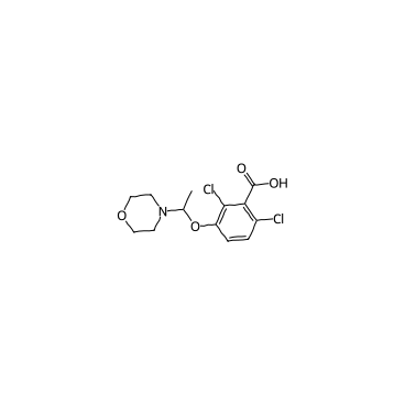 CC(Oc1ccc(Cl)c(C(=O)O)c1Cl)N1CCOCC1